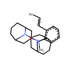 CC(=O)/C=C/c1ccccc1N(C)C1CC2CCCC(C1)N2C1CC2CCCC(C2)C1